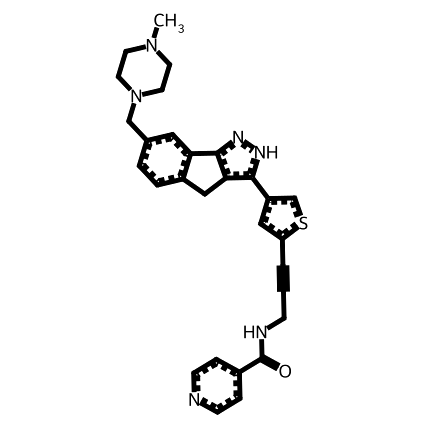 CN1CCN(Cc2ccc3c(c2)-c2n[nH]c(-c4csc(C#CCNC(=O)c5ccncc5)c4)c2C3)CC1